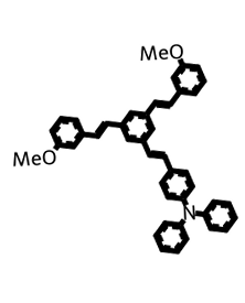 COc1cccc(/C=C/c2cc(/C=C/c3ccc(N(c4ccccc4)c4ccccc4)cc3)cc(/C=C/c3cccc(OC)c3)c2)c1